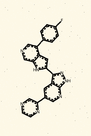 Fc1ccc(-c2cncc3[nH]c(-c4n[nH]c5ncc(-c6cnccn6)cc45)cc23)cc1